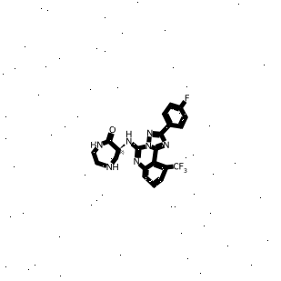 O=C1NCCNC[C@H]1Nc1nc2cccc(C(F)(F)F)c2c2nc(-c3ccc(F)cc3)nn12